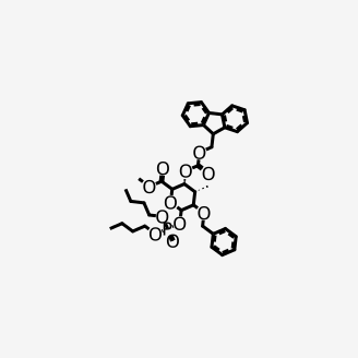 CCCCOP(=O)(OCCCC)OC1OC(C(=O)OC)[C@H](OC(=O)OCC2c3ccccc3-c3ccccc32)[C@H](C)C1OCc1ccccc1